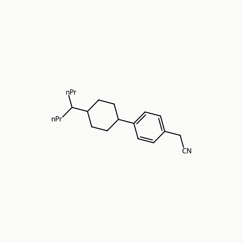 CCCC(CCC)C1CCC(c2ccc(CC#N)cc2)CC1